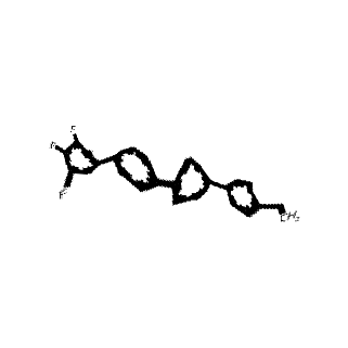 CCc1ccc(-c2ccc(-c3ccc(-c4cc(F)c(F)c(F)c4)cc3)cc2)cc1